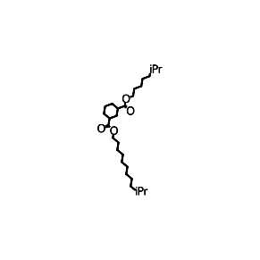 CC(C)CCCCCCCCCOC(=O)C1CCCC(C(=O)OCCCCCC(C)C)C1